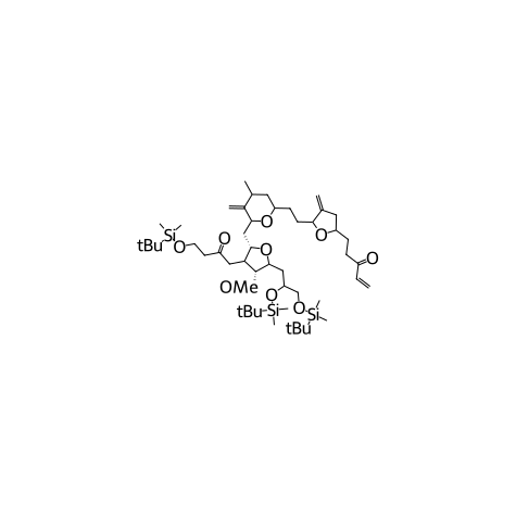 C=CC(=O)CCC1CC(=C)C(CCC2CC(C)C(=C)C(C[C@@H]3OC(CC(CO[Si](C)(C)C(C)(C)C)O[Si](C)(C)C(C)(C)C)[C@H](OC)C3CC(=O)CCO[Si](C)(C)C(C)(C)C)O2)O1